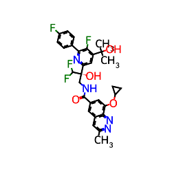 Cc1cc2cc(C(=O)NC[C@](O)(c3cc(C(C)(C)O)c(F)c(-c4ccc(F)cc4)n3)C(F)F)cc(OC3CC3)c2nn1